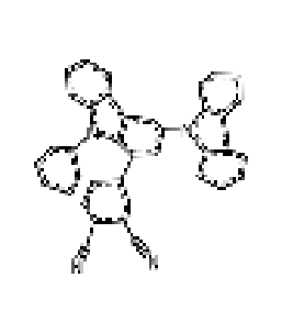 N#Cc1ccc(-c2cc(-n3c4ccccc4c4ccccc43)cc3c4ccccc4n(-c4ccccc4)c23)cc1C#N